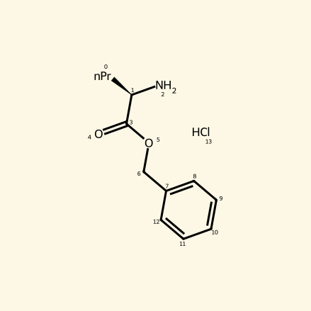 CCC[C@@H](N)C(=O)OCc1ccccc1.Cl